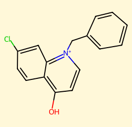 Oc1cc[n+](Cc2ccccc2)c2cc(Cl)ccc12